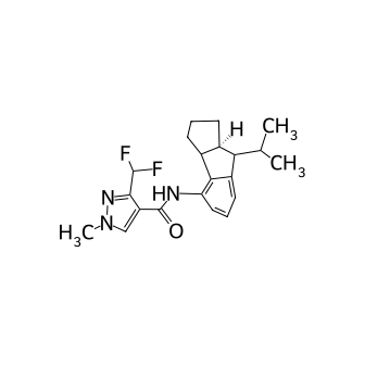 CC(C)C1c2cccc(NC(=O)c3cn(C)nc3C(F)F)c2C2CCC[C@H]21